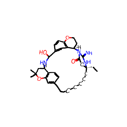 CC[C@@]12CCCCCCc3ccc4c(c3)OC(C)(C)C[C@@H]4NC(O)c3ccc4c(c3)[C@@H](CCO4)N(C(=N)N1)C(=O)C2